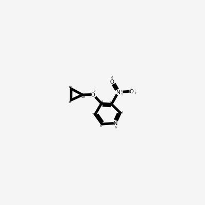 O=[N+]([O-])c1cnccc1OC1CC1